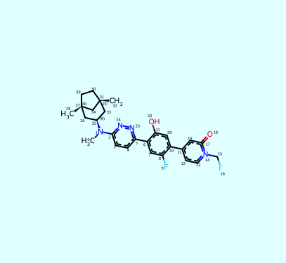 CN(c1ccc(-c2cc(F)c(-c3ccn(CF)c(=O)c3)cc2O)nn1)[C@H]1C[C@]2(C)CC[C@](C)(C1)C2